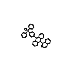 O=P(c1ccccc1)(c1ccccc1)c1ccc(-c2c3ccccc3c(-c3nccc4ccccc34)c3ccccc23)cc1